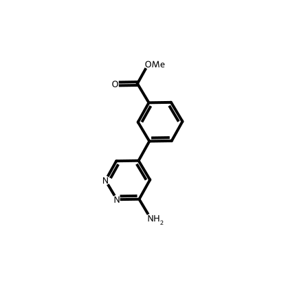 COC(=O)c1cccc(-c2cnnc(N)c2)c1